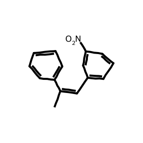 CC(=Cc1cccc([N+](=O)[O-])c1)c1ccccc1